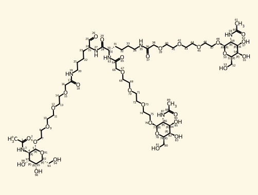 CC(=O)N[C@H]1[C@H](OCCOCCOCCOCC(=O)NCCCC[C@@H](C=O)NC(=O)[C@H](CCCCNC(=O)COCCOCCOCCO[C@@H]2O[C@H](CO)[C@H](O)[C@H](O)[C@H]2NC(C)=O)NC(=O)COCCOCCOCCO[C@@H]2O[C@H](CO)[C@H](O)[C@H](O)[C@H]2NC(C)=O)O[C@H](CO)[C@H](O)[C@@H]1O